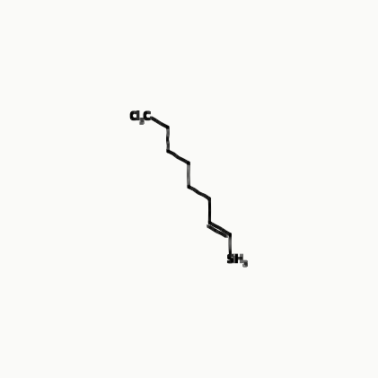 [SiH3]C=CCCCCCC(Cl)(Cl)Cl